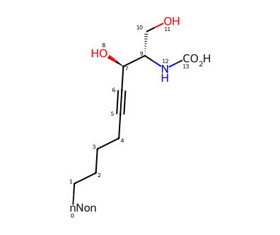 CCCCCCCCCCCCCC#C[C@@H](O)[C@H](CO)NC(=O)O